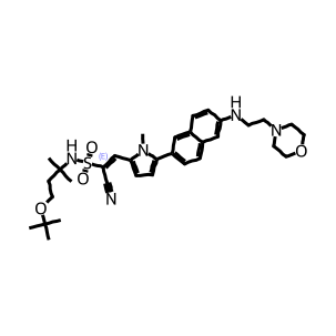 Cn1c(/C=C(\C#N)S(=O)(=O)NC(C)(C)CCOC(C)(C)C)ccc1-c1ccc2cc(NCCN3CCOCC3)ccc2c1